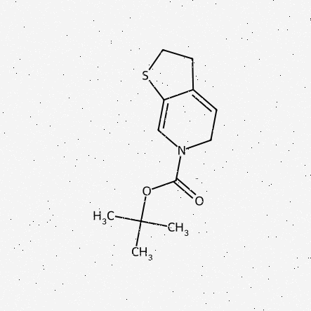 CC(C)(C)OC(=O)N1C=C2SCCC2=CC1